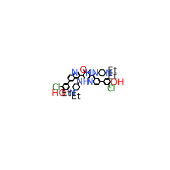 CCN(CC)C1CCC(Nc2c(C(C)C(=O)C(C)c3cnc4ccc(-c5ccc(O)c(Cl)c5)cc4c3NC3CCC(N(CC)CC)CC3)cnc3ccc(-c4ccc(O)c(Cl)c4)cc23)CC1